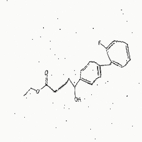 CCOC(=O)CCC(O)c1ccc(-c2ccccc2F)cc1